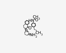 CCCc1ccc(NC(C)=O)cc1O[C@H]1c2ccccc2CC[C@@H]1N1CCC[C@H](N)C1